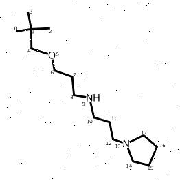 CC(C)(C)COCCCNCCCN1CCCC1